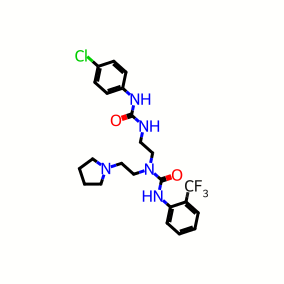 O=C(NCCN(CCN1CCCC1)C(=O)Nc1ccccc1C(F)(F)F)Nc1ccc(Cl)cc1